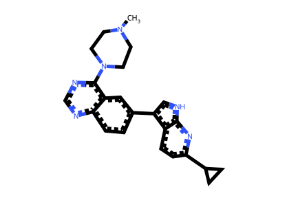 CN1CCN(c2ncnc3ccc(-c4c[nH]c5nc(C6CC6)ccc45)cc23)CC1